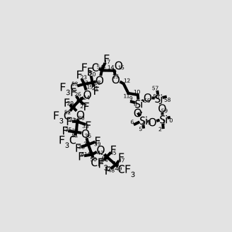 C[Si]1(C)O[Si](C)(C)O[Si](C)(CCCOC(=O)C(F)(OC(F)(F)C(F)(OC(F)(F)C(F)(OC(F)(F)C(F)(OC(F)(F)C(F)(OC(F)(F)C(F)(F)C(F)(F)F)C(F)(F)F)C(F)(F)F)C(F)(F)F)C(F)(F)F)C(F)(F)F)O[Si](C)(C)O1